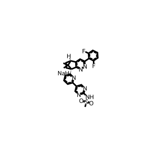 CC1(C)[C@H]2CC[C@]1(c1cccc(-c3cnc(NS(C)(=O)=O)nc3)n1)c1nnc(-c3c(F)cccc3F)cc12.[NaH]